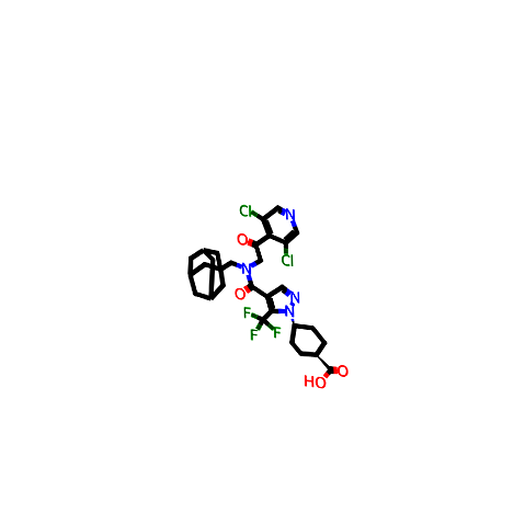 O=C(CN(CC12CC3CC(CC(C3)C1)C2)C(=O)c1cnn([C@H]2CC[C@H](C(=O)O)CC2)c1C(F)(F)F)c1c(Cl)cncc1Cl